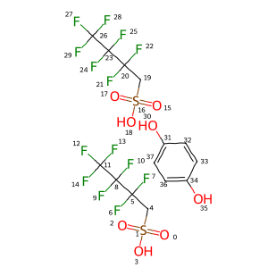 O=S(=O)(O)CC(F)(F)C(F)(F)C(F)(F)F.O=S(=O)(O)CC(F)(F)C(F)(F)C(F)(F)F.Oc1ccc(O)cc1